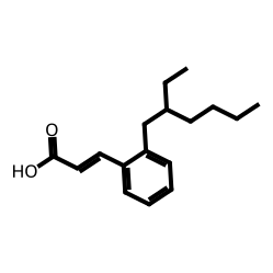 CCCCC(CC)Cc1ccccc1/C=C/C(=O)O